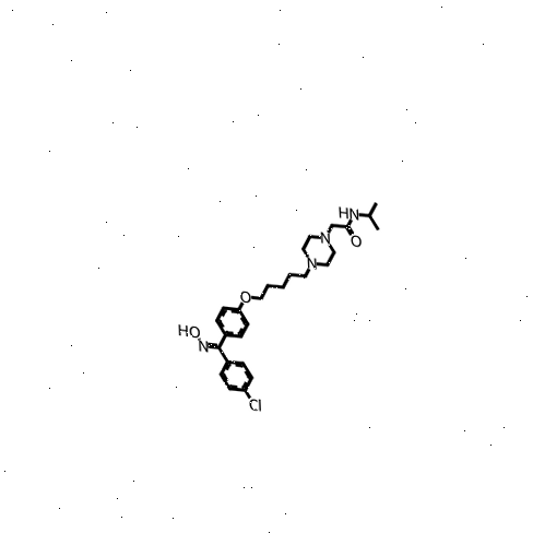 CC(C)NC(=O)CN1CCN(CCCCCOc2ccc(/C(=N\O)c3ccc(Cl)cc3)cc2)CC1